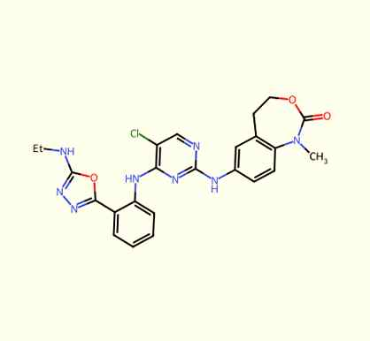 CCNc1nnc(-c2ccccc2Nc2nc(Nc3ccc4c(c3)CCOC(=O)N4C)ncc2Cl)o1